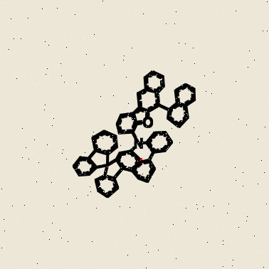 c1ccc(-c2ccccc2N(c2ccc3c(c2)C2(c4ccccc4-c4ccccc42)c2ccccc2-3)c2cccc3c2oc2c(-c4cccc5ccccc45)c4ccccc4cc23)cc1